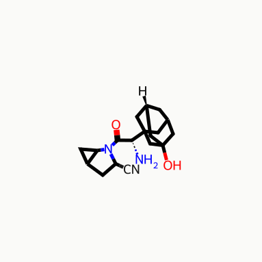 N#CC1CC2CC2N1C(=O)[C@@H](N)C12CC3C[C@H](CC(O)(C3)C1)C2